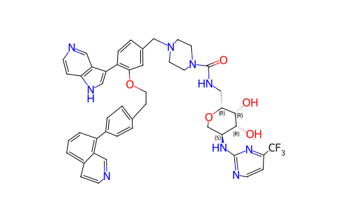 O=C(NC[C@H]1OC[C@H](Nc2nccc(C(F)(F)F)n2)[C@@H](O)[C@H]1O)N1CCN(Cc2ccc(-c3c[nH]c4ccncc34)c(OCCc3ccc(-c4cccc5ccncc45)cc3)c2)CC1